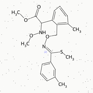 CONC(C(=O)OC)c1cccc(C)c1CO/N=C(\SC)c1cccc(C)c1